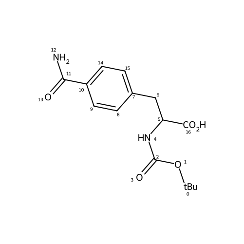 CC(C)(C)OC(=O)NC(Cc1ccc(C(N)=O)cc1)C(=O)O